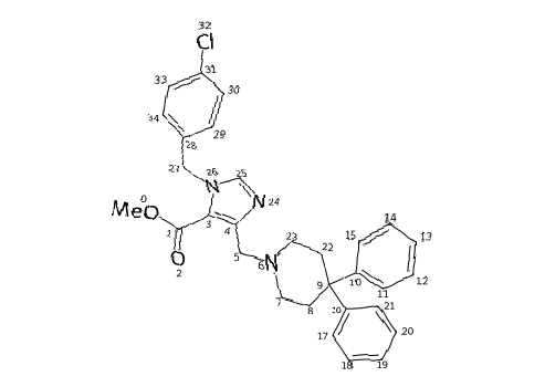 COC(=O)c1c(CN2CCC(c3ccccc3)(c3ccccc3)CC2)ncn1Cc1ccc(Cl)cc1